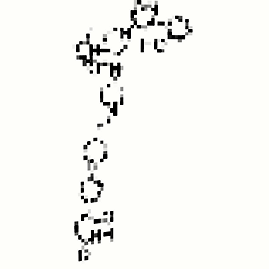 Cc1ccnn1C1(C(=O)N(C)C2CCN(CCC3CCN(c4ccc([C@H]5CCC(=O)NC5=O)cc4)CC3)CC2)CCN(c2cnnc(-c3ccccc3O)c2)CC1